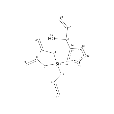 C=CC[Si](CC=C)(CC=C)c1occc1C(O)C=C